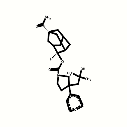 CC(C)(O)CC1(c2ccccc2)CCN(C(=O)O[C@H]2C3CC4CC2C[C@](C(N)=O)(C4)C3)C1